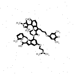 Cc1cccc(Cn2c(C(=O)O)cc3cc(OCCN(C)C)cc(N4CC(C)n5c(c(CCCOc6cc(C)c(Cl)c(C)c6)c6ccc(Cl)c(-c7c(C)nn(C)c7C)c65)C4=O)c32)n1